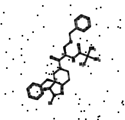 CCN1N=C2CCN(C(=O)[C@@H](COCc3ccccc3)NC(=O)C(C)(C)N)C[C@@]2(Cc2ccccc2)C1=O